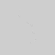 S=C(NN=Cc1cccnc1)Nc1ccccc1